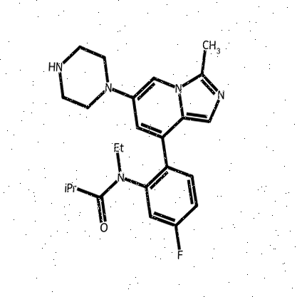 CCN(C(=O)C(C)C)c1cc(F)ccc1-c1cc(N2CCNCC2)cn2c(C)ncc12